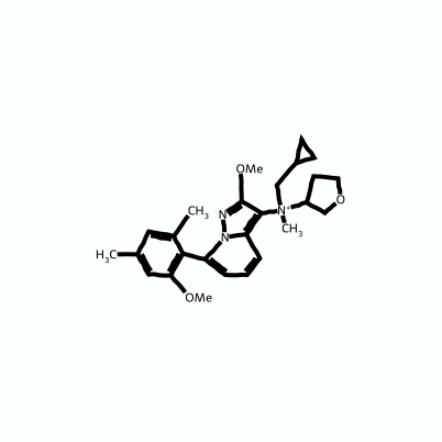 COc1cc(C)cc(C)c1-c1cccc2c([N+](C)(CC3CC3)C3CCOC3)c(OC)nn12